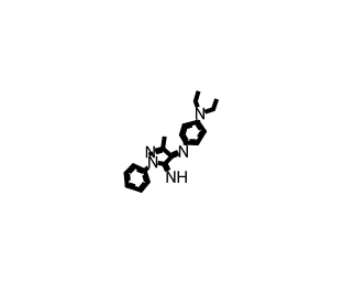 CCN(CC)c1ccc(N=C2C(=N)N(c3ccccc3)N=C2C)cc1